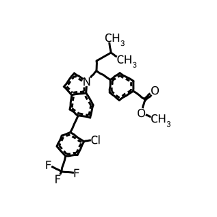 COC(=O)c1ccc(C(CC(C)C)n2ccc3cc(-c4ccc(C(F)(F)F)cc4Cl)ccc32)cc1